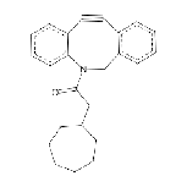 O=C(CC1CCCCCC1)N1Cc2ccccc2C#Cc2ccccc21